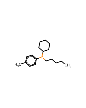 CCCCCP(c1ccc(C)cc1)C1CCCCC1